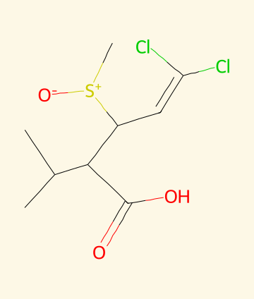 CC(C)C(C(=O)O)C(C=C(Cl)Cl)[S+](C)[O-]